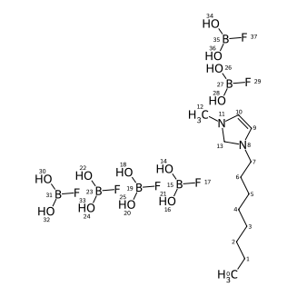 CCCCCCCCN1C=CN(C)C1.OB(O)F.OB(O)F.OB(O)F.OB(O)F.OB(O)F.OB(O)F